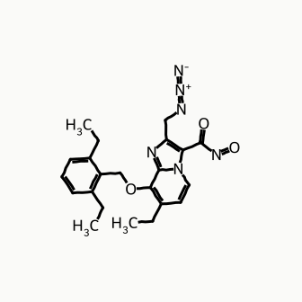 CCc1cccc(CC)c1COc1c(CC)ccn2c(C(=O)N=O)c(CN=[N+]=[N-])nc12